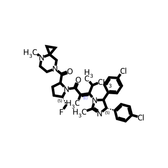 CC1=N[C@@H](c2ccc(Cl)cc2)C(c2ccc(Cl)cc2)N1/C(=C(\C)C(=O)N1C(C(=O)N2CCN(C)C3(CC3)C2)CC[C@H]1CF)C(C)C